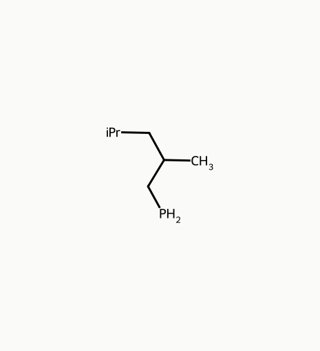 CC(C)CC(C)CP